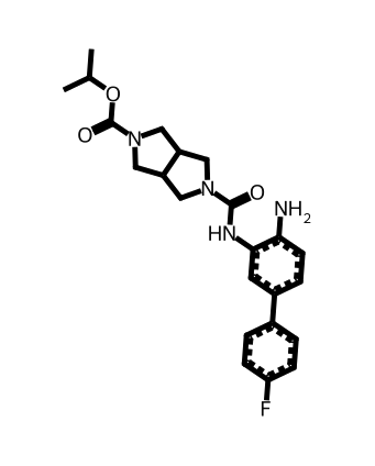 CC(C)OC(=O)N1CC2CN(C(=O)Nc3cc(-c4ccc(F)cc4)ccc3N)CC2C1